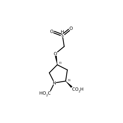 O=C(O)[C@@H]1C[C@H](OC[SH](=O)=O)CN1C(=O)O